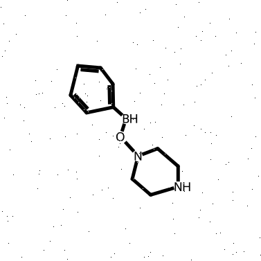 B(ON1CCNCC1)c1ccccc1